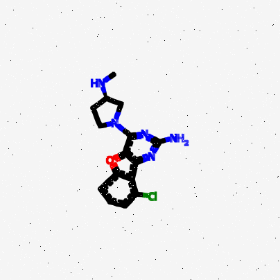 CN[C@@H]1CCN(c2nc(N)nc3c2oc2cccc(Cl)c23)C1